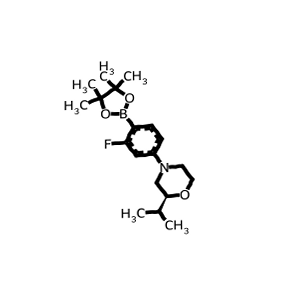 CC(C)[C@H]1CN(c2ccc(B3OC(C)(C)C(C)(C)O3)c(F)c2)CCO1